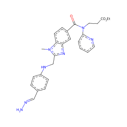 CCOC(=O)CCN(C(=O)c1ccc2c(c1)nc(CNc1ccc(C=NN)cc1)n2C)c1ccccn1